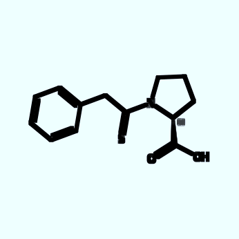 O=C(O)[C@@H]1CCCN1C(=S)Cc1ccccc1